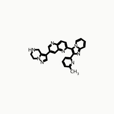 Cc1cccc(-c2nc3ccccn3c2-c2ccc3ncc(-c4cnn5c4CNCC5)cc3n2)n1